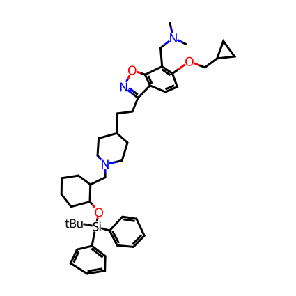 CN(C)Cc1c(OCC2CC2)ccc2c(CCC3CCN(CC4CCCCC4O[Si](c4ccccc4)(c4ccccc4)C(C)(C)C)CC3)noc12